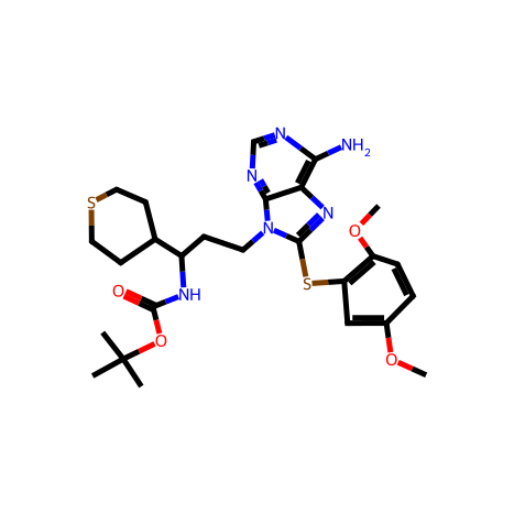 COc1ccc(OC)c(Sc2nc3c(N)ncnc3n2CCC(NC(=O)OC(C)(C)C)C2CCSCC2)c1